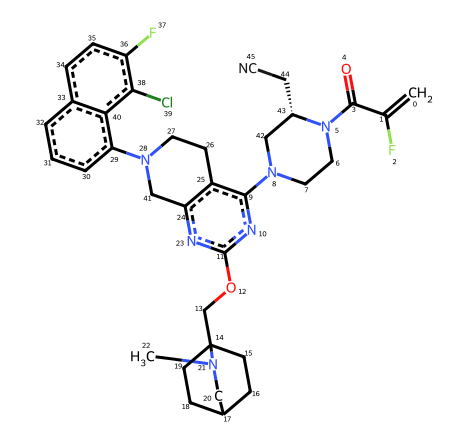 C=C(F)C(=O)N1CCN(c2nc(OCC34CCC(CC3)CN4C)nc3c2CCN(c2cccc4ccc(F)c(Cl)c24)C3)C[C@@H]1CC#N